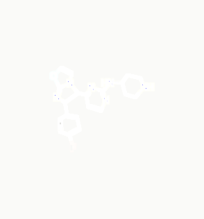 Fc1ccc(C2N=C3OC=CN3C2c2ccnc(NC3CCNCC3)n2)cc1